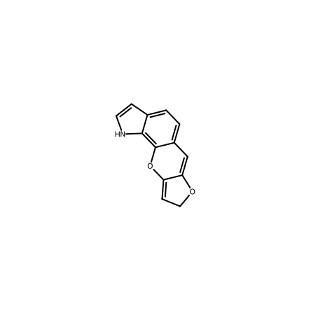 C1=C2OCC=C2Oc2c1ccc1cc[nH]c21